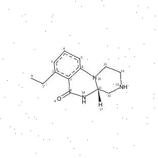 CCc1cccc2c1C(=O)N[C@H]1CNCCN21